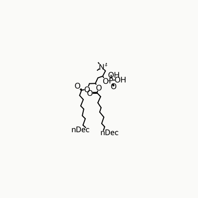 CCCCCCCCCCCCCCCCCC(=O)OCC(CC(C[N+](C)(C)C)OP(=O)(O)O)OC(=O)CCCCCCCCCCCCCCCCC